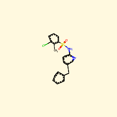 Cc1c(Cl)cccc1S(=O)(=O)Nc1ccc(Cc2ccccc2)cn1